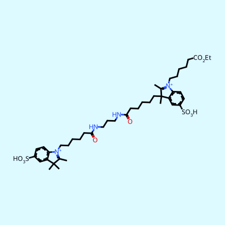 CCOC(=O)CCCCC[N+]1=C(C)C(C)(CCCCCC(=O)NCCCNC(=O)CCCCC[N+]2=C(C)C(C)(C)c3cc(S(=O)(=O)O)ccc32)c2cc(S(=O)(=O)O)ccc21